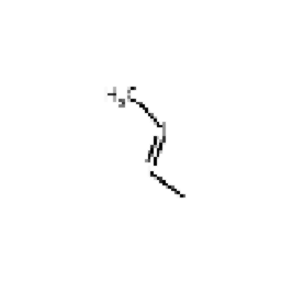 CI=II